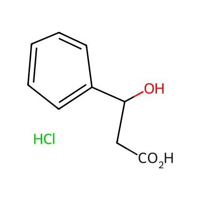 Cl.O=C(O)CC(O)c1ccccc1